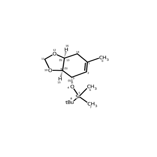 CC1=C[C@H](O[Si](C)(C)C(C)(C)C)[C@H]2OCO[C@H]2C1